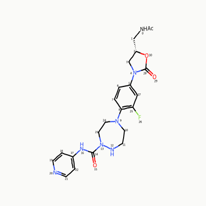 CC(=O)NC[C@H]1CN(c2ccc(N3CCNN(C(=O)Nc4ccncc4)CC3)c(F)c2)C(=O)O1